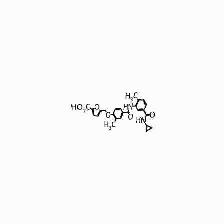 Cc1ccc(C(=O)NC2CC2)cc1NC(=O)c1ccc(OCc2ccc(C(=O)O)o2)c(C)c1